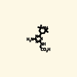 CC1(C)CC(c2nc(N)nc(NCC(=O)O)n2)CC(C)(C)N1